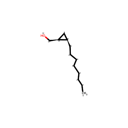 CCCCCCCC[C@@H]1C[C@@H]1CO